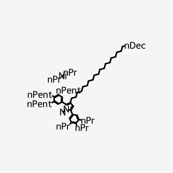 CCCCCCCCCCCCCCCCCCCCCCCCCCCCCC1=C(c2cc(CCCCC)c(CCCCC)c(CCCCC)c2)[N+](=[N-])C(c2cc(CCC)c(CCC)c(CCC)c2)=C1.CC[CH2][Ni][CH2]CC